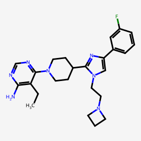 CCc1c(N)ncnc1N1CCC(c2nc(-c3cccc(F)c3)cn2CCN2CCC2)CC1